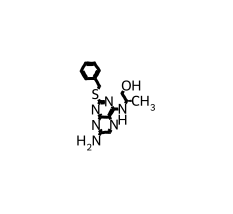 C[C@H](CO)Nc1nc(SCc2ccccc2)nc2nc(N)cnc12